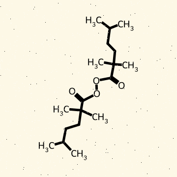 CC(C)CCC(C)(C)C(=O)OOC(=O)C(C)(C)CCC(C)C